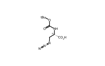 CC(C)(C)OC(=O)N[C@@H](CN=[N+]=[N-])C(=O)O